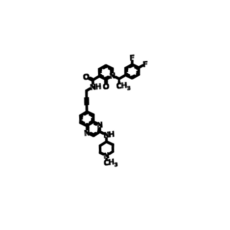 C[C@H](c1ccc(F)c(F)c1)n1cccc(C(=O)NCC#Cc2ccc3ncc(NC4CCN(C)CC4)nc3c2)c1=O